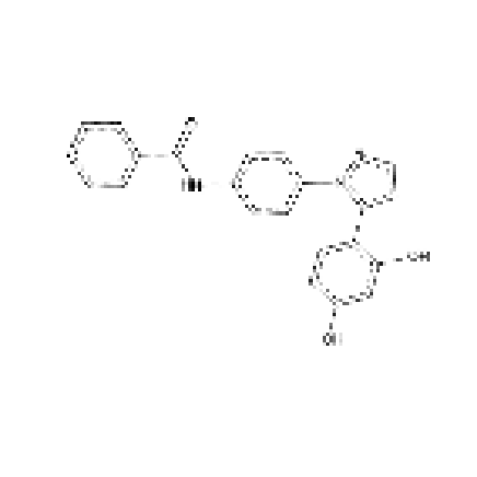 O=C(Nc1ccc(-n2nccc2-c2ccc(O)cc2O)cc1)c1ccccc1